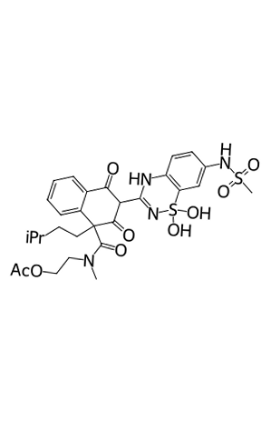 CC(=O)OCCN(C)C(=O)C1(CCC(C)C)C(=O)C(C2=NS(O)(O)c3cc(NS(C)(=O)=O)ccc3N2)C(=O)c2ccccc21